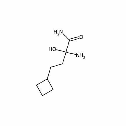 NC(=O)C(N)(O)CCC1CCC1